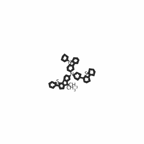 CC1(C)c2cc(N(c3ccc(-c4cccc5c4sc4ccccc45)cc3)c3ccc4c(c3)c3ccccc3n4-c3ccccc3)ccc2-c2c1ccc1c2sc2ccccc21